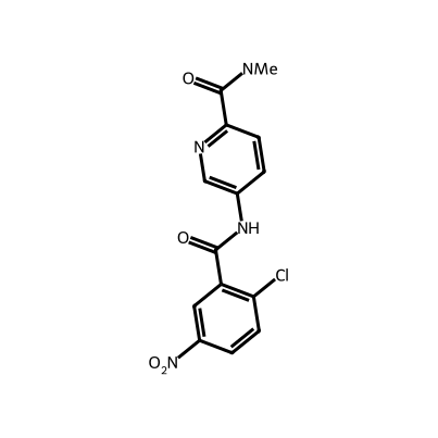 CNC(=O)c1ccc(NC(=O)c2cc([N+](=O)[O-])ccc2Cl)cn1